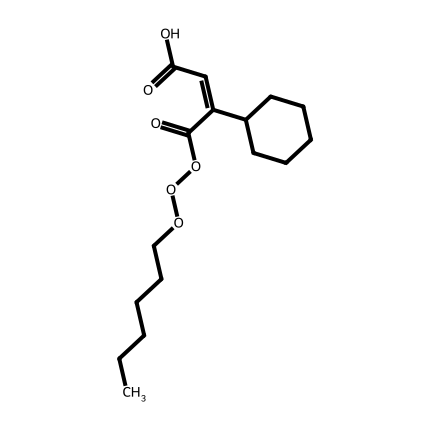 CCCCCCOOOC(=O)C(=CC(=O)O)C1CCCCC1